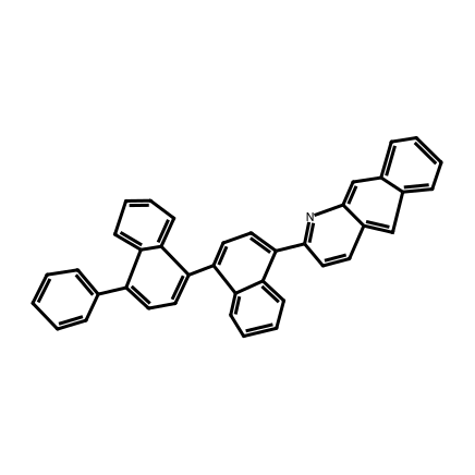 c1ccc(-c2ccc(-c3ccc(-c4ccc5cc6ccccc6cc5n4)c4ccccc34)c3ccccc23)cc1